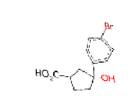 O=C(O)C1CCC(O)(c2ccc(Br)cc2)C1